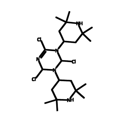 CC1(C)CC(N2C(Cl)=NC(Cl)N(C3CC(C)(C)NC(C)(C)C3)C2Cl)CC(C)(C)N1